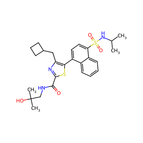 CC(C)NS(=O)(=O)c1ccc(-c2sc(C(=O)NCC(C)(C)O)nc2CC2CCC2)c2ccccc12